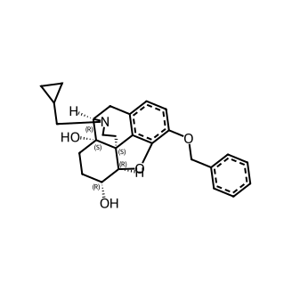 O[C@@H]1CC[C@@]2(O)[C@H]3Cc4ccc(OCc5ccccc5)c5c4[C@@]2(CCN3CC2CC2)[C@H]1O5